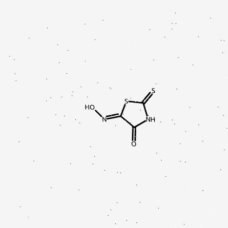 O=C1NC(=S)S/C1=N\O